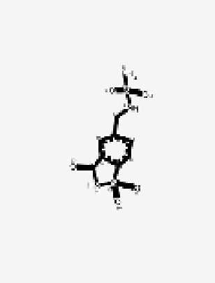 CS(=O)(=O)NCc1ccc2c(c1)C(=O)NS2(=O)=O